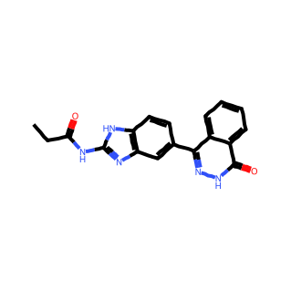 CCC(=O)Nc1nc2cc(-c3n[nH]c(=O)c4ccccc34)ccc2[nH]1